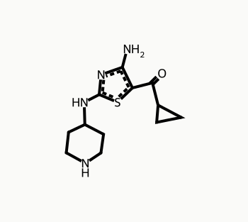 Nc1nc(NC2CCNCC2)sc1C(=O)C1CC1